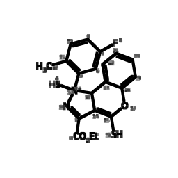 CCOC(=O)C1=N[N+](S)(c2cc(F)ccc2C)C2C1=C(S)Oc1ccccc12